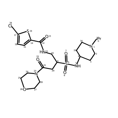 CC(C)N1CCC(NS(=O)(=O)C(CNC(=O)c2ccc(Cl)s2)CC(=O)N2CCOCC2)CC1